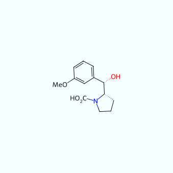 COc1cccc([C@H](O)[C@@H]2CCCN2C(=O)O)c1